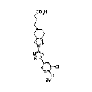 CC(C)Oc1ccc(-c2nnc(-n3cc4c(n3)CCN(CCCC(=O)O)C4)s2)cc1Cl